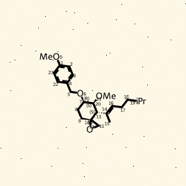 COc1ccc(CO[C@@H]2CC[C@]3(CO3)[C@@H](C(C)=CCCC(C)C)[C@@H]2OC)cc1